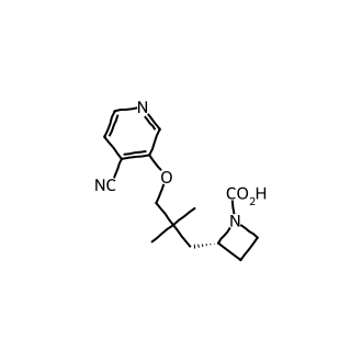 CC(C)(COc1cnccc1C#N)C[C@H]1CCN1C(=O)O